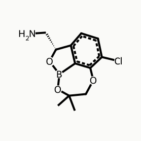 CC1(C)COc2c(Cl)ccc3c2B(O[C@@H]3CN)O1